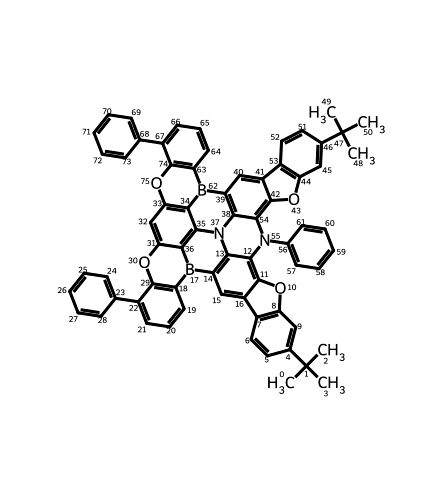 CC(C)(C)c1ccc2c(c1)oc1c3c4c(cc12)B1c2cccc(-c5ccccc5)c2Oc2cc5c6c(c21)N4c1c(cc2c(oc4cc(C(C)(C)C)ccc42)c1N3c1ccccc1)B6c1cccc(-c2ccccc2)c1O5